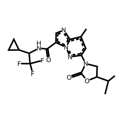 Cc1cc(N2CC(C(C)C)OC2=O)nn2c(C(=O)NC(C3CC3)C(F)(F)F)cnc12